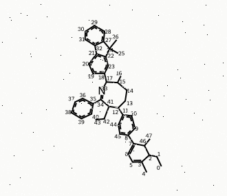 CCC1C(C)=CC=C(c2ccc(C3CCC(C)C(c4ccc5c(c4)C(C)(C)c4ccccc4-5)/N=C(/c4ccccc4)C3CC)cc2)C1C